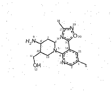 Cc1cnc(N2CCC(N)C(CO)C2)c(-c2nc(C)no2)c1